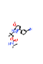 COc1ccc(-c2cccc(C#N)c2)n2nc(C3(COC(=O)NC(C)C)CC3)nc12